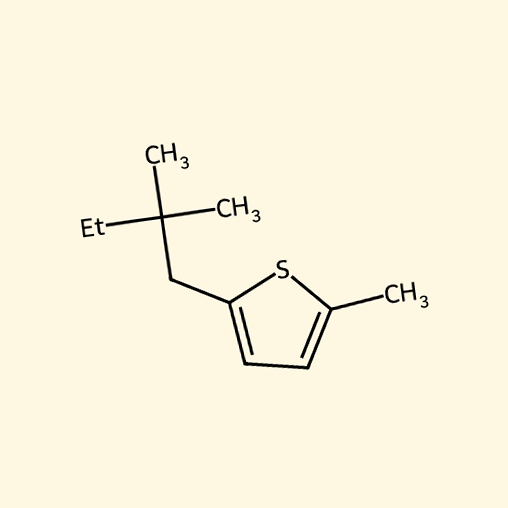 CCC(C)(C)Cc1ccc(C)s1